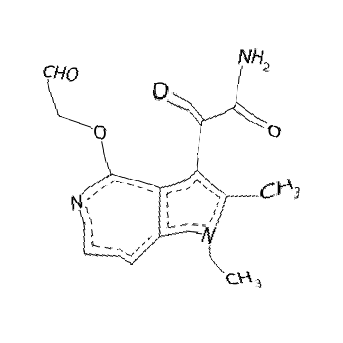 Cc1c(C(=O)C(N)=O)c2c(OCC=O)nccc2n1C